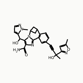 Cc1cc(C(C)(O)C#Cc2ccc3c(c2)-c2nc(C(N)=O)c(C(O)c4ccnn4C)n2C2CC3C2)no1